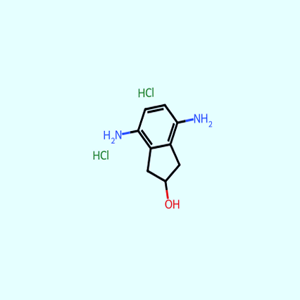 Cl.Cl.Nc1ccc(N)c2c1CC(O)C2